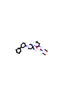 CC(C)(C)CC(NC(=O)N1CCOCC1)C(=O)NC1(C#N)CCN(C2CCCC(c3ccccc3)C2)CC1